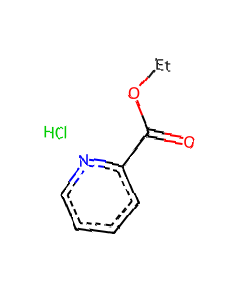 CCOC(=O)c1ccccn1.Cl